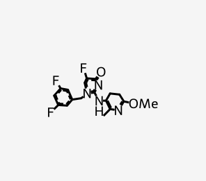 COC1=NC(C)=C(Nc2nc(=O)c(F)cn2Cc2cc(F)cc(F)c2)CC1